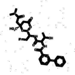 CC(C)CC(NC(=O)C(NC(=O)c1cccc(-c2ccccc2)n1)C(C)O)B1OC(=O)C[C@@](CC(=O)N(C)C)(C(=O)O)O1